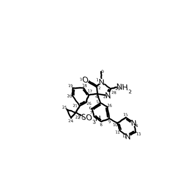 CN1C(=O)C(c2cccc(-c3cncnc3)c2)(c2cccc(C3(S(=O)(=O)O)CC3)c2)N=C1N